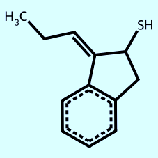 CC/C=C1\c2ccccc2CC1S